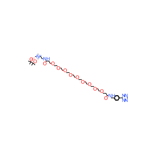 CC1(C)OB(C[N+](C)(C)CCNC(=O)CCOCCOCCOCCOCCOCCOCCOCCOCCOCCC(=O)NCc2ccc(-c3nncnn3)cc2)OC1(C)C